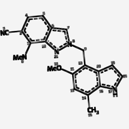 CNc1c(C#N)ccc2cn(Cc3c(OC)cc(C)c4[nH]ccc34)nc12